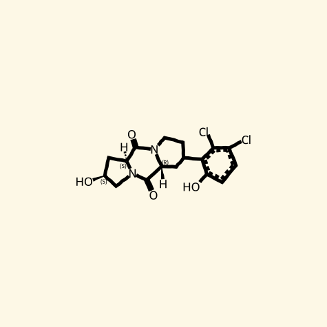 O=C1[C@@H]2C[C@H](O)CN2C(=O)[C@H]2CC(c3c(O)ccc(Cl)c3Cl)CCN12